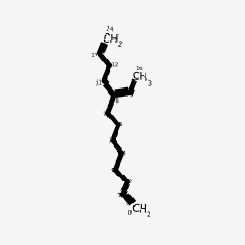 C=CCCCCCCC(=CC)CCC=C